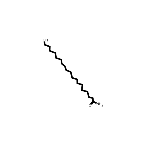 NC(=O)CCCCCCCCCCCCCCCCCCO